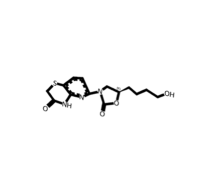 O=C1CSc2ccc(N3C[C@@H](CCCCO)OC3=O)nc2N1